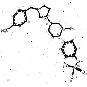 Cc1ccc(CN2CC[C@@H](N3CC[C@@H](c4ccc(OP(=O)(O)O)cc4)[C@H](F)C3)C2)cc1